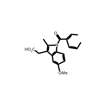 C/C=C\C(=C/C)C(=O)n1c(C)c(CC(=O)O)c2cc(OC)ccc21